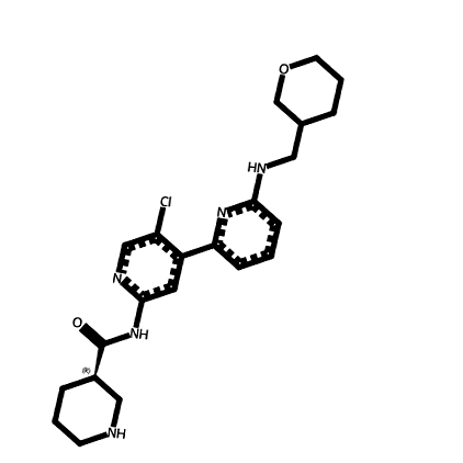 O=C(Nc1cc(-c2cccc(NCC3CCCOC3)n2)c(Cl)cn1)[C@@H]1CCCNC1